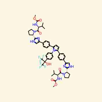 COC(=O)N[C@H](C(=O)N1CCC[C@H]1c1nc(-c2ccc(-c3ccc(-c4ccc(-c5c[nH]c([C@@H]6CCCN6C(=O)[C@@H](NC(=O)OC)C(C)C)n5)cc4)n3-c3ccc(C(O)(C(F)(F)F)C(F)(F)F)cc3)cc2)c[nH]1)C(C)C